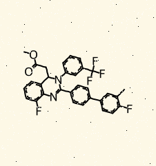 COC(=O)CC1c2cccc(F)c2N=C(c2ccc(-c3ccc(F)c(C)c3)cc2)N1c1cccc(C(F)(F)F)c1